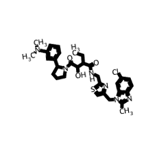 CCC(C(=O)NCc1nc(Cn2c(C)nc3ccc(Cl)cc32)cs1)C(O)C(=O)N1CCCC1c1cccc(N(C)C)c1